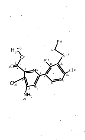 COC(=O)c1nc(-c2ccc(Cl)c(SCF)c2F)cc(N)c1Cl